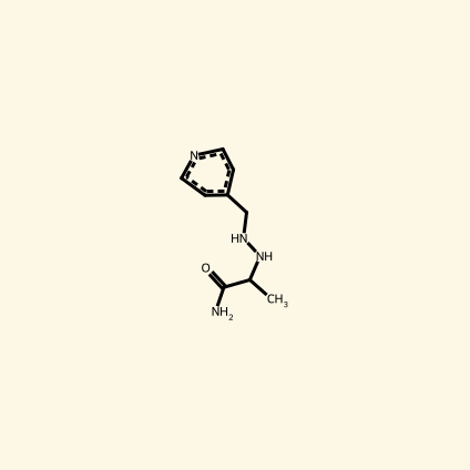 CC(NNCc1ccncc1)C(N)=O